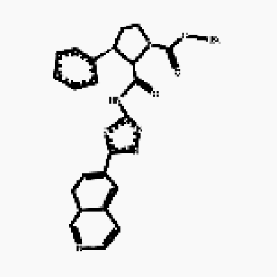 CC(C)(C)OC(=O)N1CC[C@H](c2ccccc2)[C@@H]1C(=O)Nc1nnc(C2=CCC3C=NC=CC3=C2)s1